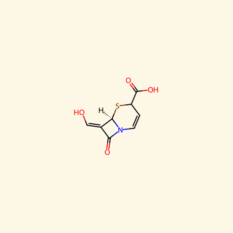 O=C(O)C1C=CN2C(=O)C(=CO)[C@H]2S1